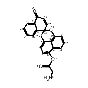 NCC(=O)Oc1ccc2c3c(cccc13)OC1(C=CC(=O)c3ccccc31)O2